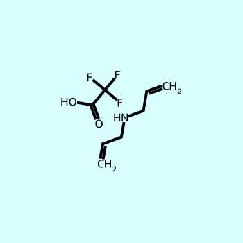 C=CCNCC=C.O=C(O)C(F)(F)F